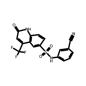 N#Cc1cccc(NS(=O)(=O)c2ccc3[nH]c(=O)cc(C(F)(F)F)c3c2)c1